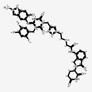 Cn1cc2cc(/N=c3\[nH]c(=O)n(Cc4cn(CCOCC(=O)Nc5cccc6c5CN(C5CCC(=O)NC5=O)C6=O)nn4)c(=O)n3Cc3cc(F)c(F)cc3F)c(Cl)cc2n1